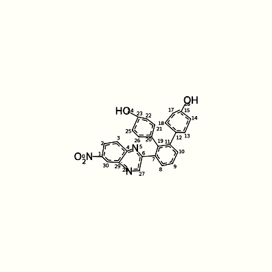 O=[N+]([O-])c1ccc2nc(-c3cccc(-c4ccc(O)cc4)c3-c3ccc(O)cc3)cnc2c1